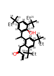 C=CC(=O)Cc1c(C(C)c2cc(C(C)(C)CC)cc(C(C)(C)CC)c2O)cc(C(C)(C)CC)cc1C(C)(C)CC